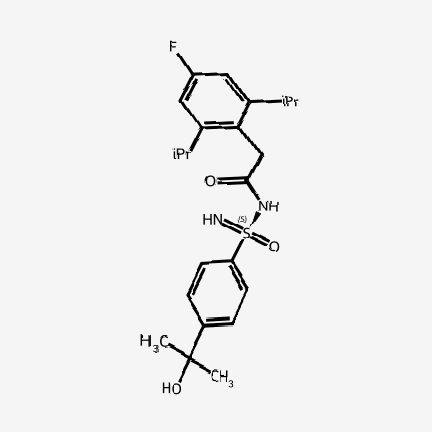 CC(C)c1cc(F)cc(C(C)C)c1CC(=O)N[S@@](=N)(=O)c1ccc(C(C)(C)O)cc1